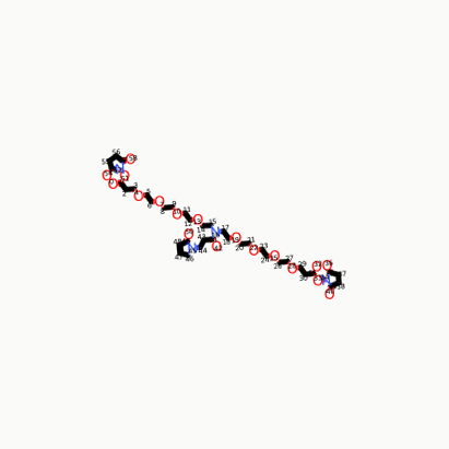 O=C(CCOCCOCCOCCOCCN(CCOCCOCCOCCOCCC(=O)ON1C(=O)CCC1=O)C(=O)CCN1CC=CC1=O)ON1C(=O)CCC1=O